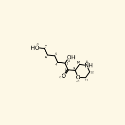 O=C(C(O)CCCCO)C1CNCCO1